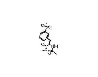 COC(=O)/C(=C\c1cccc(S(C)(=O)=O)c1)NC(C)=O